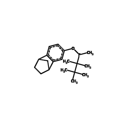 CP(Oc1ccc2c(c1)C1CCC2C1)C(C)(C)C(C)(C)C